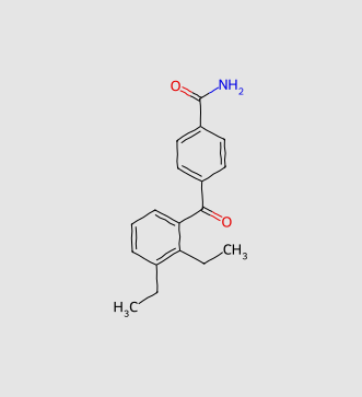 CCc1cccc(C(=O)c2ccc(C(N)=O)cc2)c1CC